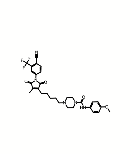 COc1ccc(NC(=O)N2CCN(CCCCCC3=C(C)C(=O)N(c4ccc(C#N)c(C(F)(F)F)c4)C3=O)CC2)cc1